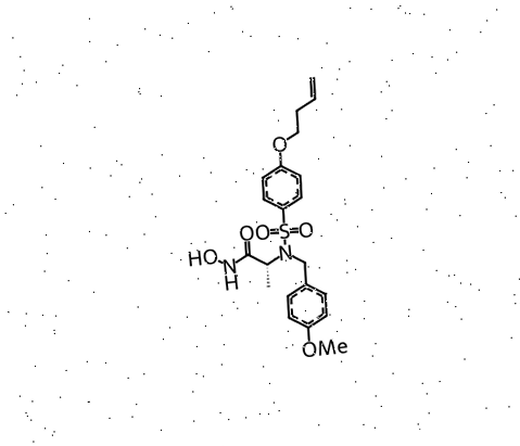 C=CCCOc1ccc(S(=O)(=O)N(Cc2ccc(OC)cc2)[C@H](C)C(=O)NO)cc1